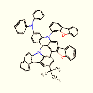 CC(C)(C)c1cc2c3c(c1)c1c4ccccc4ccc1n3B1c3ccc(N(c4ccccc4)c4ccccc4)cc3N(c3cccc4c3oc3ccccc34)c3cc4c(oc5ccccc54)c-2c31